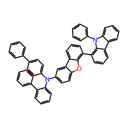 c1ccc(-c2ccc(N(c3ccc4oc5c(-c6cccc7c8ccccc8n(-c8ccccc8)c67)cccc5c4c3)c3ccccc3-c3ccccc3)cc2)cc1